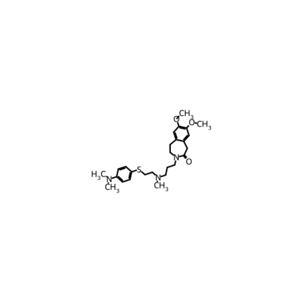 COc1cc2c(cc1OC)CC(=O)N(CCCN(C)CCSc1ccc(N(C)C)cc1)CC2